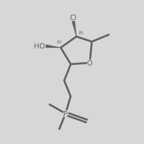 C=P(C)(C)CCC1OC(C)[C@H](Cl)[C@@H]1O